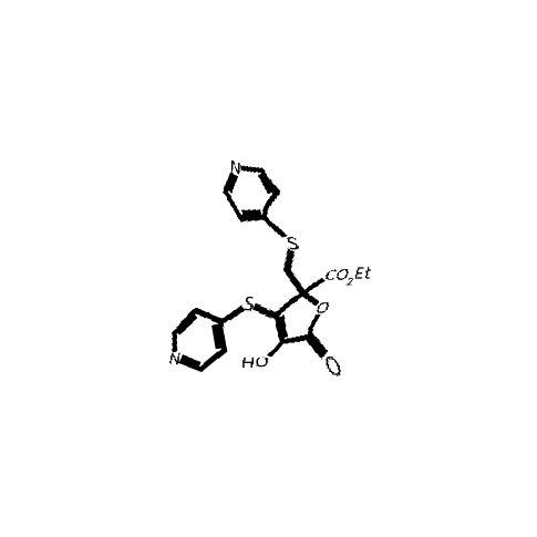 CCOC(=O)C1(CSc2ccncc2)OC(=O)C(O)=C1Sc1ccncc1